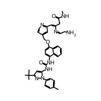 CNC(=O)CC(=Cc1cc(COc2ccc(NC(=O)Nc3cc(C(C)(C)C)nn3-c3ccc(C)cc3)c3ccccc23)ccn1)/N=C\CN